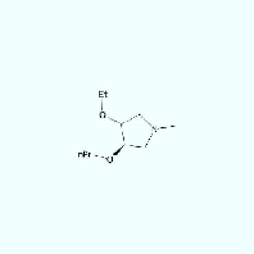 CCCO[C@@H]1CN(C)C[C@H]1OCC